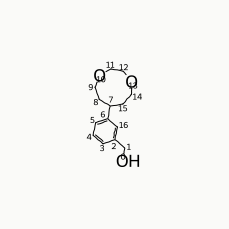 OCc1cccc(C2CCOCCOCC2)c1